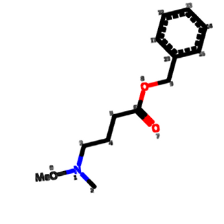 CON(C)CCCC(=O)OCc1ccccc1